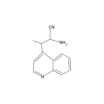 CC(c1ccnc2ccccc12)C(N)C#N